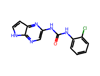 O=C(Nc1cnc2[nH]ccc2n1)Nc1ccccc1Cl